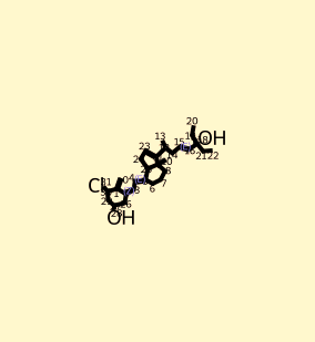 C=C1/C(=C\C=C2/CCCC3(C)C(C(C)C/C=C/C(O)(CC)CC)=CCC23)CC(O)CC1Cl